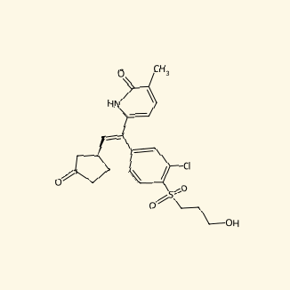 Cc1ccc(C(=C[C@H]2CCC(=O)C2)c2ccc(S(=O)(=O)CCCO)c(Cl)c2)[nH]c1=O